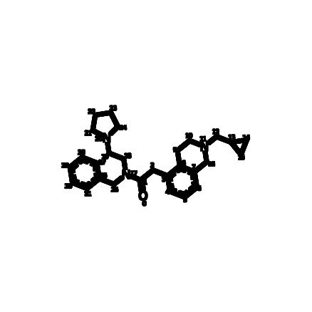 O=C(Cc1cccc2c1CCN(CC1CC1)C2)N(CCN1CCCC1)Cc1ccccc1